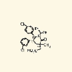 CCC(CC)N1C(=O)[C@](C)(CC(=O)O)C[C@H](c2cccc(Cl)c2)[C@H]1c1ccc(Cl)cc1